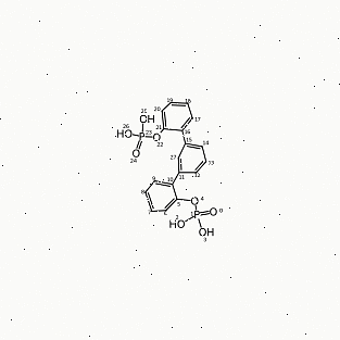 O=P(O)(O)Oc1ccccc1-c1cccc(-c2ccccc2OP(=O)(O)O)c1